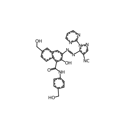 [C-]#[N+]c1cnn(-c2ncccn2)c1/N=N/c1cc2cc(CO)ccc2c(C(=O)Nc2ccc(CO)cc2)c1O